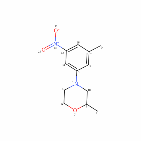 Cc1cc(N2CCOC(C)C2)cc([N+](=O)[O-])c1